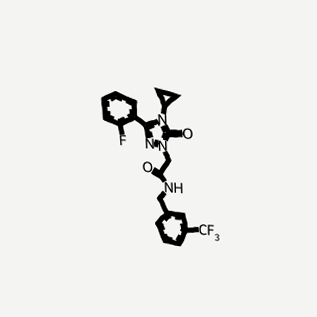 O=C(Cn1nc(-c2ccccc2F)n(C2CC2)c1=O)NCc1cccc(C(F)(F)F)c1